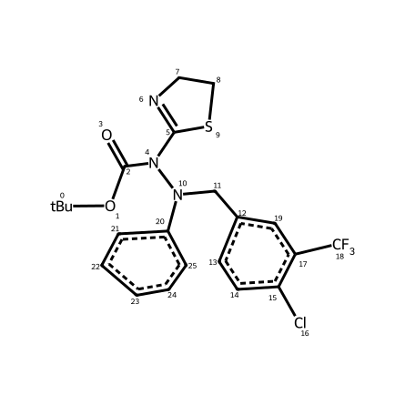 CC(C)(C)OC(=O)N(C1=NCCS1)N(Cc1ccc(Cl)c(C(F)(F)F)c1)c1ccccc1